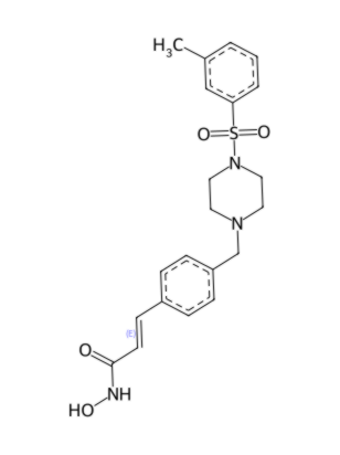 Cc1cccc(S(=O)(=O)N2CCN(Cc3ccc(/C=C/C(=O)NO)cc3)CC2)c1